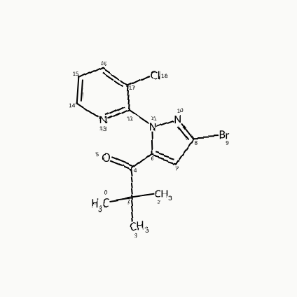 CC(C)(C)C(=O)c1cc(Br)nn1-c1ncccc1Cl